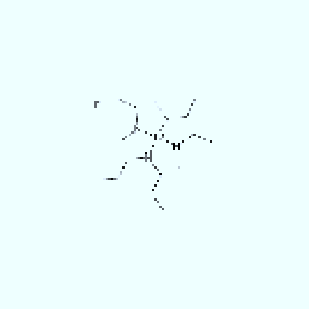 CCCN(CCC)[P+](N(C)CC)(N(C)CC)N(C)CC.[I-]